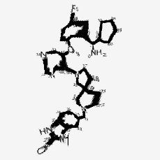 N[C@@H](c1cc(F)ccc1Oc1cncnc1N1CCC2(CCN(Cc3ccc4[nH]c(=O)[nH]c4c3)C2)C1)C1CCCC1